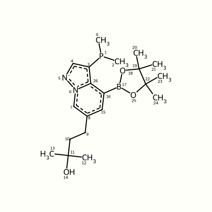 CP(C)c1cnn2cc(CCC(C)(C)O)cc(B3OC(C)(C)C(C)(C)O3)c12